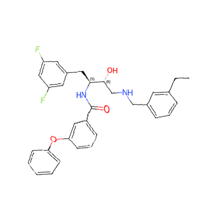 CCc1cccc(CNC[C@@H](O)[C@H](Cc2cc(F)cc(F)c2)NC(=O)c2cccc(Oc3ccccc3)c2)c1